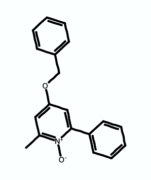 Cc1cc(OCc2ccccc2)cc(-c2ccccc2)[n+]1[O-]